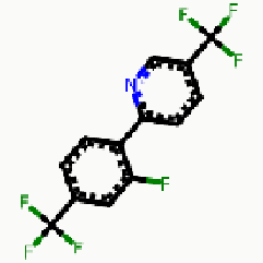 Fc1cc(C(F)(F)F)ccc1-c1ccc(C(F)(F)F)cn1